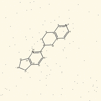 c1cc2c(cn1)CCC(c1ccc3c(n1)CCC3)C2